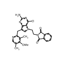 COc1c(C)cnc(Cc2cn(CCN3C(=O)c4ccccc4C3=O)c3c(Cl)nc(N)nc23)c1C